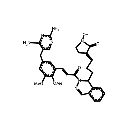 COc1cc(Cc2cnc(N)nc2N)cc(C=CC(=O)N2N=Cc3ccccc3C2CC/C=C2\CCN(O)C2=O)c1OC